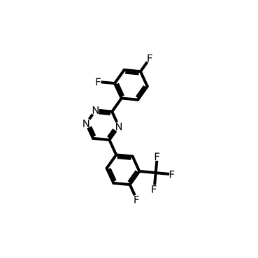 Fc1ccc(-c2nncc(-c3ccc(F)c(C(F)(F)F)c3)n2)c(F)c1